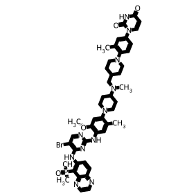 COc1cc(N2CCC(N(C)CC3CCN(c4ccc(-n5ccc(=O)[nH]c5=O)cc4C)CC3)CC2)c(C)cc1Nc1ncc(Br)c(Nc2ccc3nccnc3c2P(C)(C)=O)n1